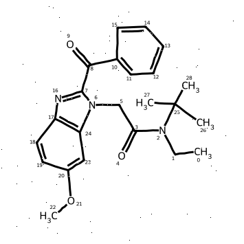 CCN(C(=O)Cn1c(C(=O)c2ccccc2)nc2ccc(OC)cc21)C(C)(C)C